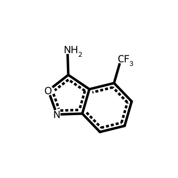 Nc1onc2cccc(C(F)(F)F)c12